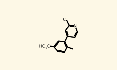 Cc1ccc(C(=O)O)cc1-c1ccnc(Cl)c1